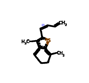 C=C/C=C\c1sc2c(c1C)=CCCC=2C